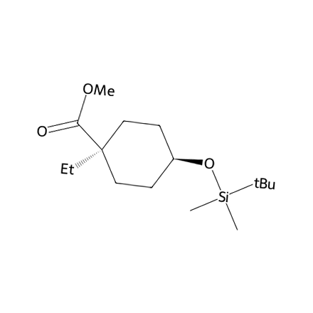 CC[C@]1(C(=O)OC)CC[C@@H](O[Si](C)(C)C(C)(C)C)CC1